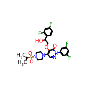 CC(C)S(=O)(=O)N1CCN(c2cnn(-c3cc(F)cc(F)c3)c(=O)c2OCC(O)c2ccc(F)cc2F)CC1